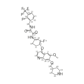 COc1cc2c(OC3=C(F)C=C(NC(=O)C(=O)NCc4cccc(C(F)(F)F)c4F)CC3)ccnc2cc1OCC1CCNCC1